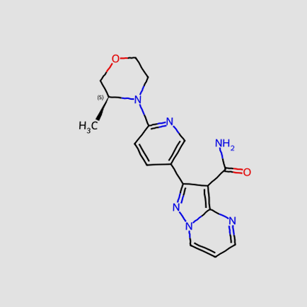 C[C@H]1COCCN1c1ccc(-c2nn3cccnc3c2C(N)=O)cn1